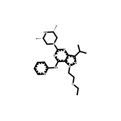 CCOCCn1nc(C(C)C)c2nc(N3C[C@@H](C)N[C@@H](C)C3)nc(Nc3ccccn3)c21